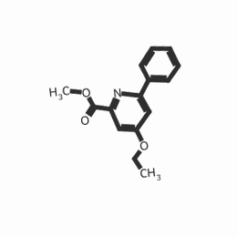 CCOc1cc(C(=O)OC)nc(-c2ccccc2)c1